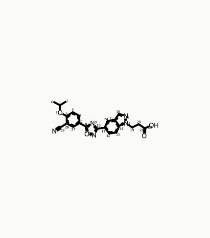 CC(C)Oc1ccc(-c2nc(-c3ccc4c(cnn4CCC(=O)O)c3)no2)cc1C#N